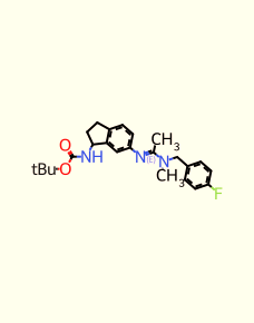 C/C(=N\c1ccc2c(c1)C(NC(=O)OC(C)(C)C)CC2)N(C)Cc1ccc(F)cc1